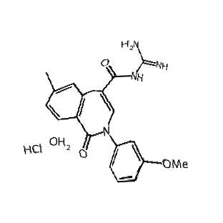 COc1cccc(-n2cc(C(=O)NC(=N)N)c3cc(C)ccc3c2=O)c1.Cl.O